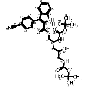 CC(C)(C)OC(=O)NCC(O)C[C@@H](CNC(=O)c1[nH]c2ccccc2c1-c1ccc(C#N)cc1)NC(=O)OC(C)(C)C